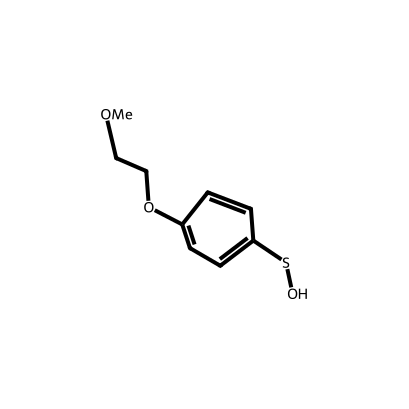 COCCOc1ccc(SO)cc1